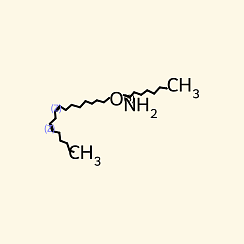 CCCCC/C=C\C/C=C\CCCCCCCCOC[C@@H](N)CCCCCCC